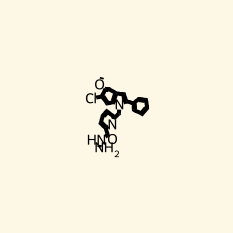 COc1cc2cc(-c3ccccc3)n(Cc3cccc(C(=O)NN)n3)c2cc1Cl